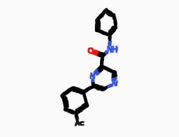 CC(=O)c1cccc(-c2cncc(C(=O)Nc3ccccc3)n2)c1